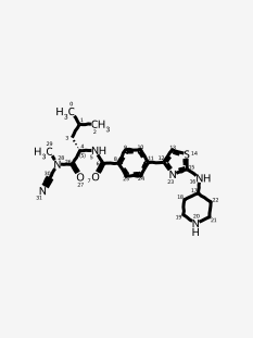 CC(C)C[C@H](NC(=O)c1ccc(-c2csc(NC3CCNCC3)n2)cc1)C(=O)N(C)C#N